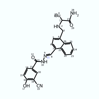 CCC(C)C(NCc1ccc(/C=N/NC(=O)c2ccc(O)c(C#N)c2)c2ccccc12)C(N)=O